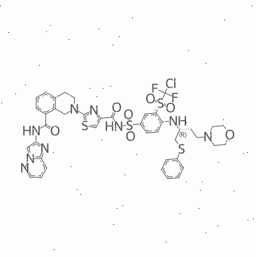 O=C(NS(=O)(=O)c1ccc(N[C@H](CCN2CCOCC2)CSc2ccccc2)c(S(=O)(=O)C(F)(F)Cl)c1)c1csc(N2CCc3cccc(C(=O)Nc4cn5ncccc5n4)c3C2)n1